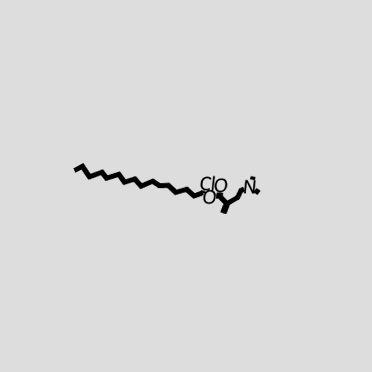 C=C(CCN(C)C)C(=O)OC(Cl)CCCCCCCCCCCCCCC